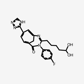 O=C1C2=CC=C(c3nnc[nH]3)C=C(C2)N=C(CCCCC(O)O)N1c1ccc(F)cc1